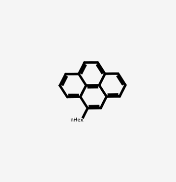 CCCCCCc1cc2cccc3ccc4c[c]cc1c4c32